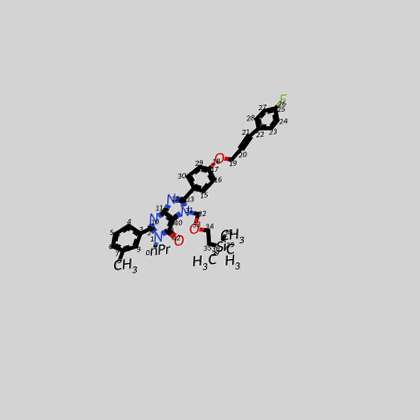 CCCn1c(-c2cccc(C)c2)nc2nc(-c3ccc(OCC#Cc4ccc(F)cc4)cc3)n(COCC[Si](C)(C)C)c2c1=O